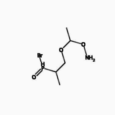 CC(ON)OCC(C)[PH](=O)Br